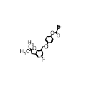 CC1(C)Cc2cc(F)cc(COc3ccc(OC(=O)C4CC4)cc3)c2O1